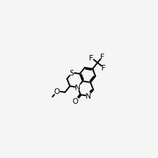 COCC1CSc2cc(C(F)(F)F)cc3cnc(=O)n1c23